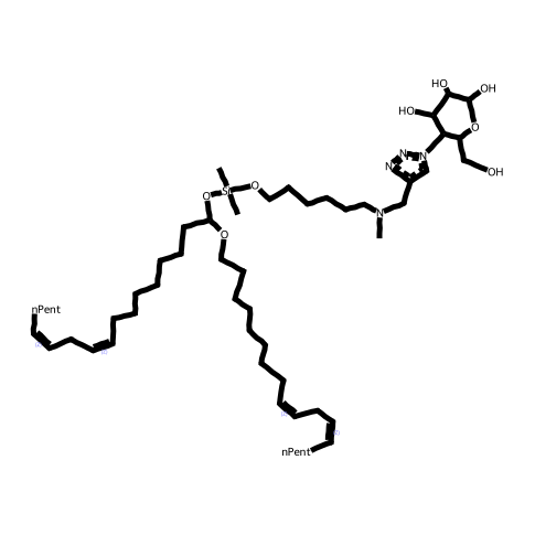 CCCCC/C=C\C/C=C\CCCCCCCCOC(CCCCCCC/C=C\C/C=C\CCCCC)O[Si](C)(C)OCCCCCCN(C)Cc1cn(C2C(CO)OC(O)C(O)C2O)nn1